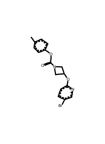 Cc1ccc(OC(=O)N2CC(Oc3ccc(Br)cn3)C2)cc1